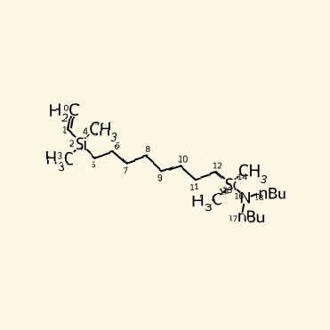 C=C[Si](C)(C)CCCCCCCC[Si](C)(C)N(CCCC)CCCC